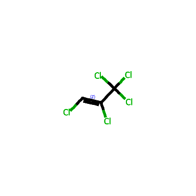 Cl/C=C(\Cl)C(Cl)(Cl)Cl